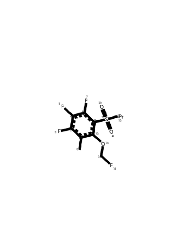 Cc1c(F)c(F)c(F)c(S(=O)(=O)C(C)C)c1OCF